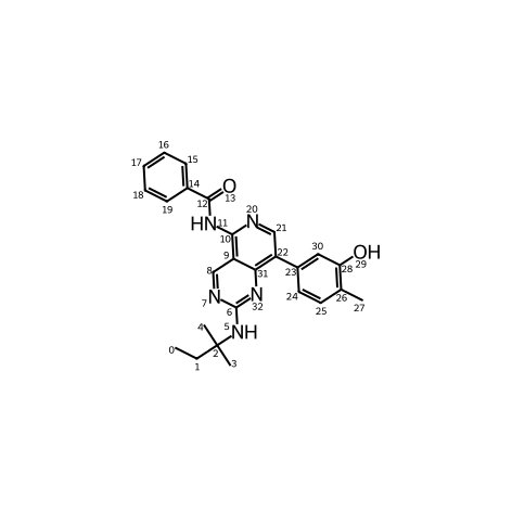 CCC(C)(C)Nc1ncc2c(NC(=O)c3ccccc3)ncc(-c3ccc(C)c(O)c3)c2n1